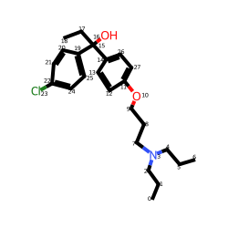 CCCN(CCC)CCCOc1ccc(C(O)(CC)c2ccc(Cl)cc2)cc1